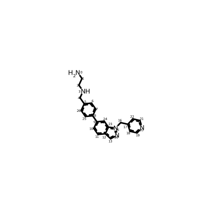 NCCNCc1ccc(-c2ccc3cnn(Cc4ccncc4)c3c2)cc1